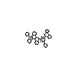 c1ccc(-c2cc(-c3cc4ccccc4c4ccccc34)nc(-c3cc4c5ccccc5c5c(c6ccccc6n5-c5ccccc5)c4c4ccccc34)n2)cc1